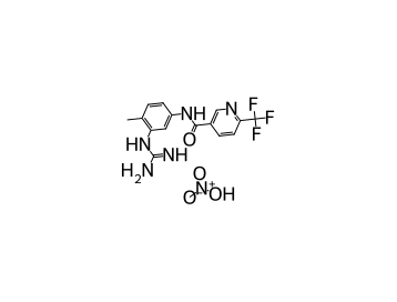 Cc1ccc(NC(=O)c2ccc(C(F)(F)F)nc2)cc1NC(=N)N.O=[N+]([O-])O